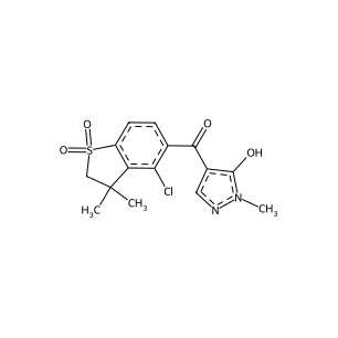 Cn1ncc(C(=O)c2ccc3c(c2Cl)C(C)(C)CS3(=O)=O)c1O